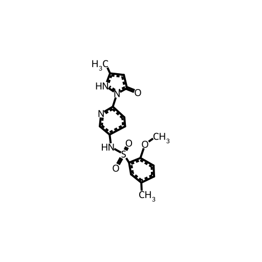 COc1ccc(C)cc1S(=O)(=O)Nc1ccc(-n2[nH]c(C)cc2=O)nc1